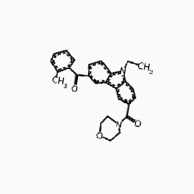 CCn1c2ccc(C(=O)c3ccccc3C)cc2c2cc(C(=O)N3CCOCC3)ccc21